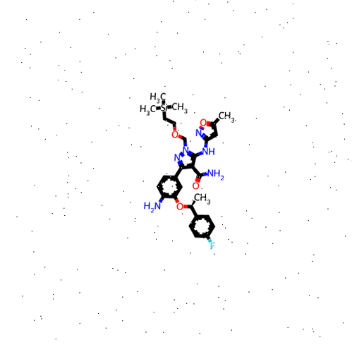 Cc1cc(Nc2c(C(N)=O)c(-c3ccc(N)c(O[C@@H](C)c4ccc(F)cc4)c3)nn2COCC[Si](C)(C)C)no1